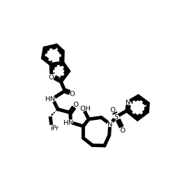 CC(C)C[C@H](NC(=O)c1cc2ccccc2o1)C(=O)NC1CCCCN(S(=O)(=O)c2ccccn2)CC1O